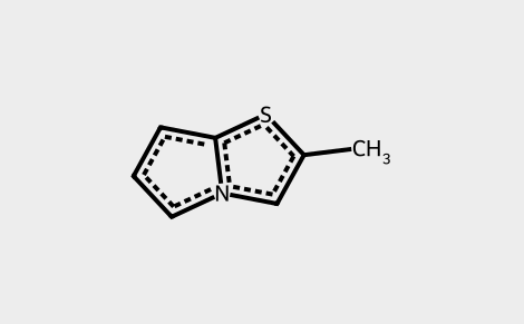 Cc1cn2cccc2s1